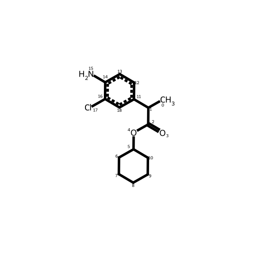 CC(C(=O)OC1CCCCC1)c1ccc(N)c(Cl)c1